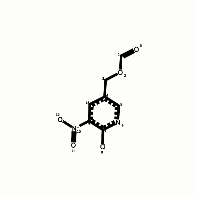 O=COCc1cnc(Cl)c([N+](=O)[O-])c1